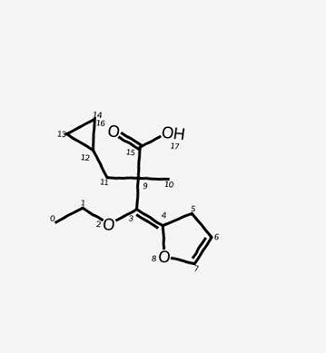 CCOC(=C1CC=CO1)C(C)(CC1CC1)C(=O)O